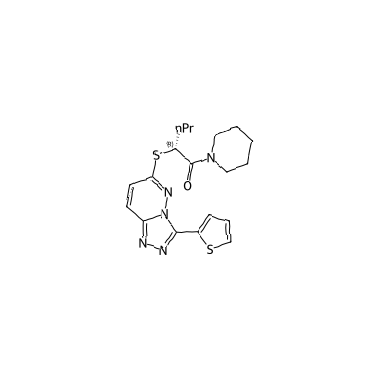 CCC[C@@H](Sc1ccc2nnc(-c3cccs3)n2n1)C(=O)N1CCCCC1